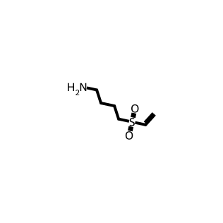 C=CS(=O)(=O)CCCCN